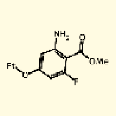 CCOc1cc(N)c(C(=O)OC)c(F)c1